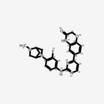 CN1CC2CC1CN2c1ccc(Nc2nccc(-c3ccc4c(c3)NC(=O)CO4)n2)cc1F